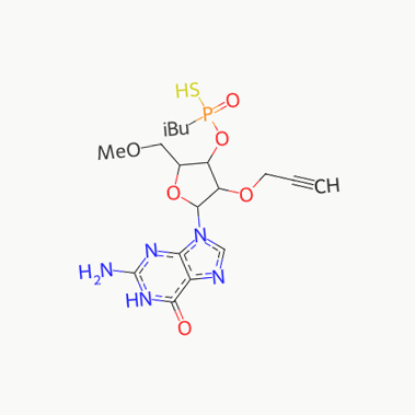 C#CCOC1C(OP(=O)(S)C(C)CC)C(COC)OC1n1cnc2c(=O)[nH]c(N)nc21